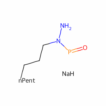 CCCCCCCCN(N)P=O.[NaH]